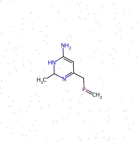 C=PCC1=NC(C)NC(N)=C1